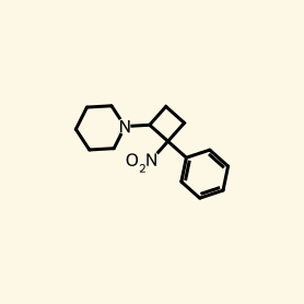 O=[N+]([O-])C1(c2ccccc2)CCC1N1CCCCC1